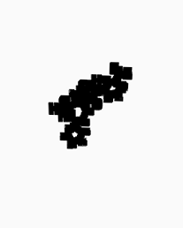 Cn1cc2c(c1C(=O)Nc1ccnc(C(F)F)c1)CC[C@H](C1CCCCC1)NS2(=N)=O